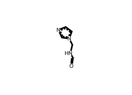 O=[C]NCn1ccnc1